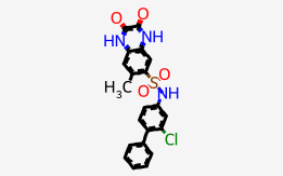 Cc1cc2[nH]c(=O)c(=O)[nH]c2cc1S(=O)(=O)Nc1ccc(-c2ccccc2)c(Cl)c1